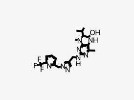 Cc1nc(NCc2cnn(Cc3cccc(C(F)(F)F)n3)c2)nc2c1NC(O)C(C(C)C)N2C